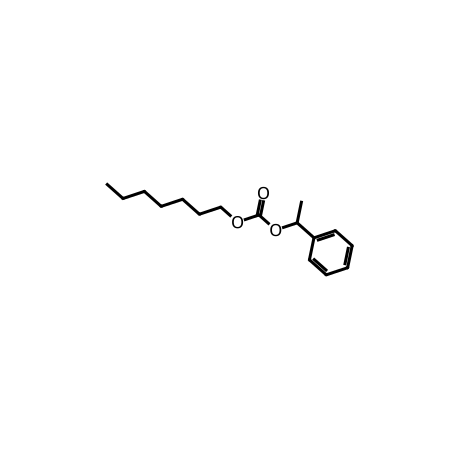 CCCCCCCOC(=O)OC(C)c1ccccc1